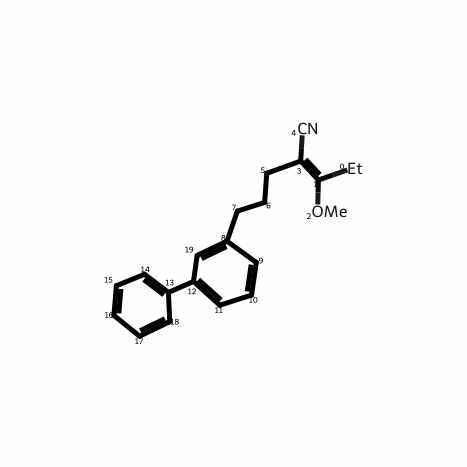 CCC(OC)=C(C#N)CCCc1cccc(-c2ccccc2)c1